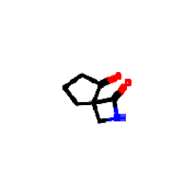 O=C1CCCC12CNC2=O